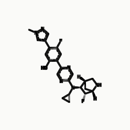 Cn1cc(-c2cc(O)c(-c3cnc(N(C4CC4)[C@H]4[C@@H]5CN[C@@H](C5)[C@@H]4F)cn3)cc2F)cn1